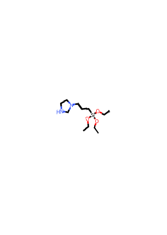 CCO[Si](CCCN1CCNC1)(OCC)OCC